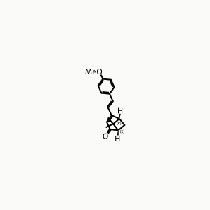 COc1ccc(C=CC2=CC(=O)[C@H]3C[C@@H]2C3(C)C)cc1